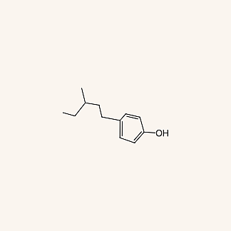 CCC(C)CCc1ccc(O)cc1